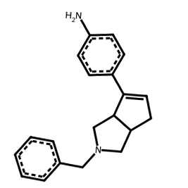 Nc1ccc(C2=CCC3CN(Cc4ccccc4)CC23)cc1